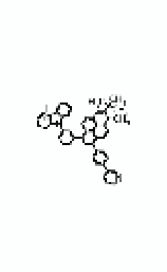 CC1C(C(C)(C)C)=Cc2ccc3c(C4=CC(N5c6ccccc6[C@H]6C=CCCC65)=CCC4)cc(-c4ccc(-c5cccnc5)cc4)c4c3c2C1C=C4